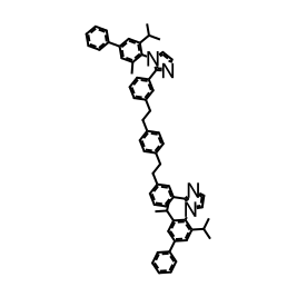 Cc1cc(-c2ccccc2)cc(C(C)C)c1-n1ccnc1-c1cccc(CCc2ccc(CCc3cccc(-c4nccn4-c4c(C(C)C)cc(-c5ccccc5)cc4C(C)C)c3)cc2)c1